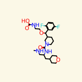 CNCC(CC1CCOCC1)NC(=O)N1CCCC(C(OCCNC(=O)O)c2cc(F)ccc2F)C1